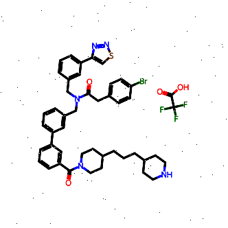 O=C(Cc1ccc(Br)cc1)N(Cc1cccc(-c2cccc(C(=O)N3CCC(CCCC4CCNCC4)CC3)c2)c1)Cc1cccc(-c2csnn2)c1.O=C(O)C(F)(F)F